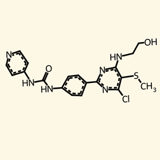 CSc1c(Cl)nc(-c2ccc(NC(=O)Nc3ccncc3)cc2)nc1NCCO